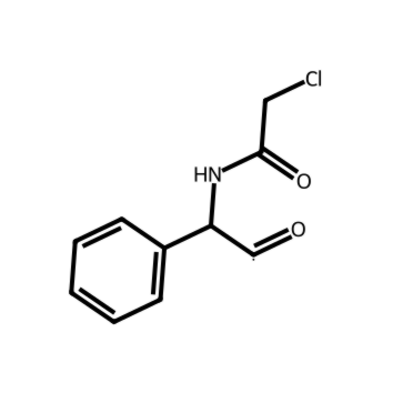 O=[C]C(NC(=O)CCl)c1ccccc1